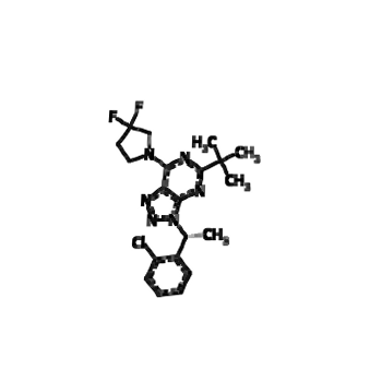 C[C@H](c1ccccc1Cl)n1nnc2c(N3CCC(F)(F)C3)nc(C(C)(C)C)nc21